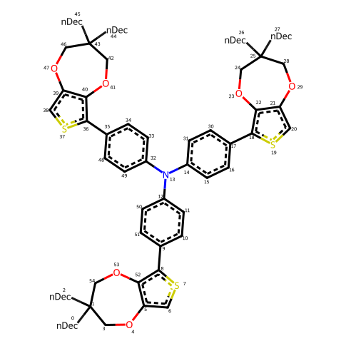 CCCCCCCCCCC1(CCCCCCCCCC)COc2csc(-c3ccc(N(c4ccc(-c5scc6c5OCC(CCCCCCCCCC)(CCCCCCCCCC)CO6)cc4)c4ccc(-c5scc6c5OCC(CCCCCCCCCC)(CCCCCCCCCC)CO6)cc4)cc3)c2OC1